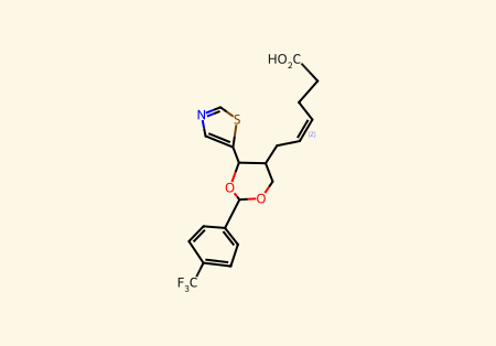 O=C(O)CC/C=C\CC1COC(c2ccc(C(F)(F)F)cc2)OC1c1cncs1